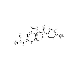 Cc1ccc(S(=O)(=O)n2ccc3nc(OC(N)=O)cnc32)cc1